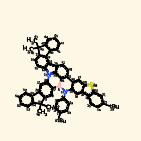 CC(C)(C)c1ccc(N2B3c4cc5c(cc4-n4c6ccc7c(c6c6ccc(c3c64)-c3cc4sc6cc(C(C)(C)C)ccc6c4cc32)-c2ccccc2C7(C)C)-c2ccccc2C5(C)C)cc1